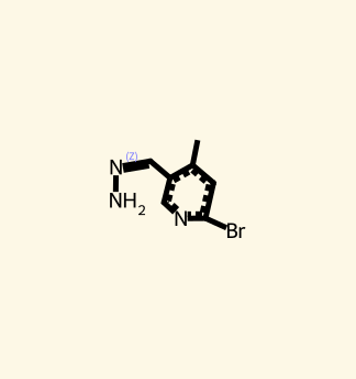 Cc1cc(Br)ncc1/C=N\N